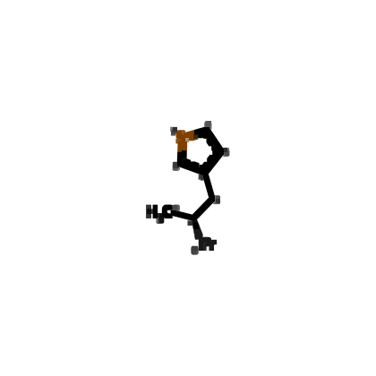 CC(C)[C@@H](C)Cc1ccsc1